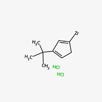 CC(C)(C)C1=CC[C]([Zr])=C1.Cl.Cl